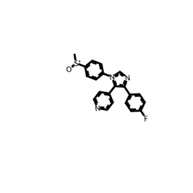 C[S+]([O-])c1ccc(-n2cnc(-c3ccc(F)cc3)c2-c2ccncc2)cc1